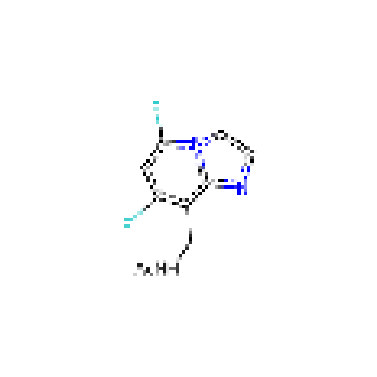 CC(=O)NCc1c(F)cc(F)n2ccnc12